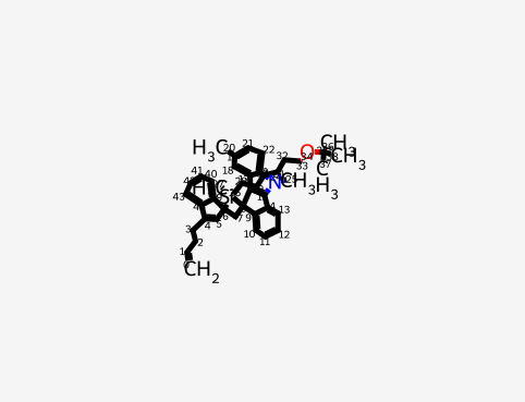 C=CCCC1=CC2(CC3(c4ccccc4-c4c3c3cc(C)ccc3n4C)[Si]2(C)CCCCCCOC(C)(C)C)c2ccccc21